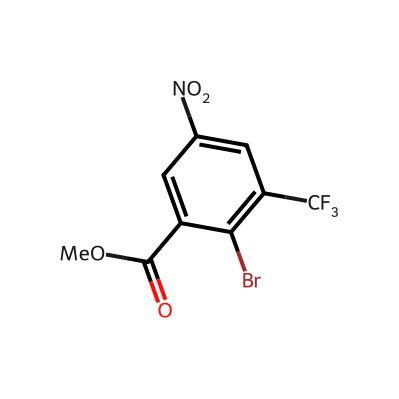 COC(=O)c1cc([N+](=O)[O-])cc(C(F)(F)F)c1Br